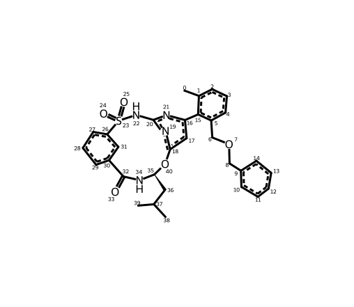 Cc1cccc(COCc2ccccc2)c1-c1cc2nc(n1)NS(=O)(=O)c1cccc(c1)C(=O)N[C@H](CC(C)C)O2